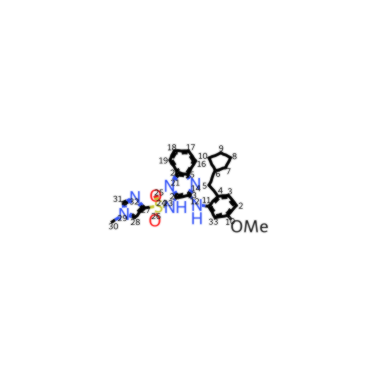 COc1ccc(CC2CCCC2)c(Nc2nc3ccccc3nc2NS(=O)(=O)c2cn(C)cn2)c1